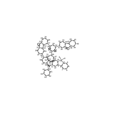 CC1(C)c2ccccc2-c2cc3c(cc21)c1cc(-c2ccc4oc5cccc(-c6cc(-c7ccc8c(c7)oc7ccccc78)nc(-c7ccccc7)n6)c5c4c2)ccc1n3-c1ccccc1